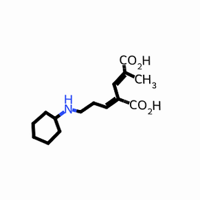 CC(=CC(=CCCNC1CCCCC1)C(=O)O)C(=O)O